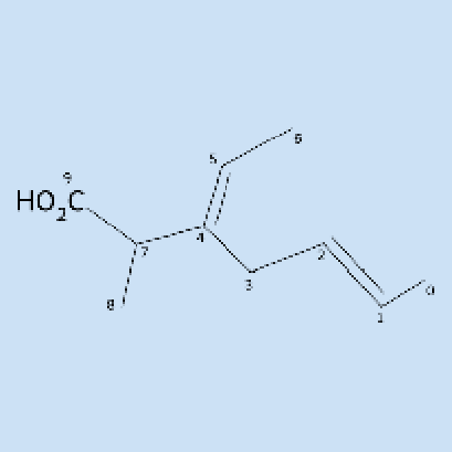 CC=CCC(=CC)C(C)C(=O)O